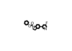 O=C(Oc1ccccc1)N1CCc2cc(-c3cncc(F)c3)ccc21